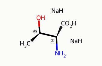 C[C@@H](O)[C@H](N)C(=O)O.[NaH].[NaH]